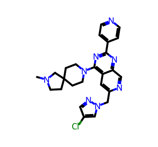 CN1CCC2(CCN(c3nc(-c4ccncc4)nc4cnc(Cn5cc(Cl)cn5)cc34)CC2)C1